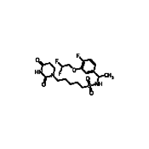 CC(NS(=O)(=O)CCCCCN1CCC(=O)NC1=O)c1ccc(F)c(OCC(F)F)c1